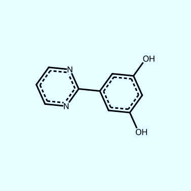 Oc1cc(O)cc(-c2ncccn2)c1